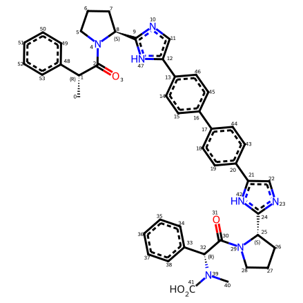 C[C@@H](C(=O)N1CCC[C@H]1c1ncc(-c2ccc(-c3ccc(-c4cnc([C@@H]5CCCN5C(=O)[C@@H](c5ccccc5)N(C)C(=O)O)[nH]4)cc3)cc2)[nH]1)c1ccccc1